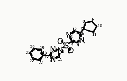 O=S(=O)(c1cnc(C2CCCC2)cn1)n1cnc(-c2ccccc2)n1